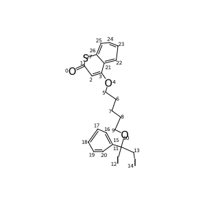 O=c1cc(OCCCCCOC(I)(CI)c2ccccc2)c2ccccc2s1